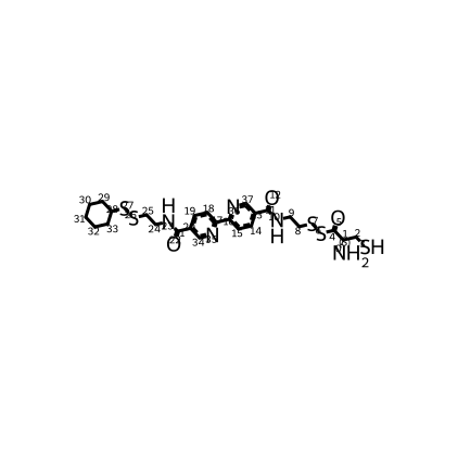 N[C@@H](CS)C(=O)SSCCNC(=O)c1ccc(-c2ccc(C(=O)NCCSSC3CCCCC3)cn2)nc1